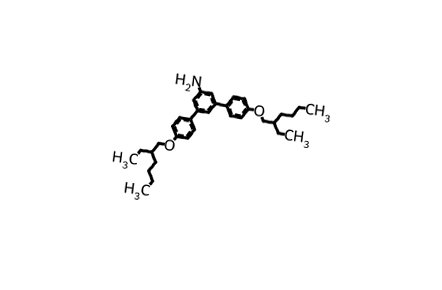 CCCCC(CC)COc1ccc(-c2cc(N)cc(-c3ccc(OCC(CC)CCCC)cc3)c2)cc1